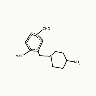 COc1ccc(C=O)cc1CN1CCC(N)CC1